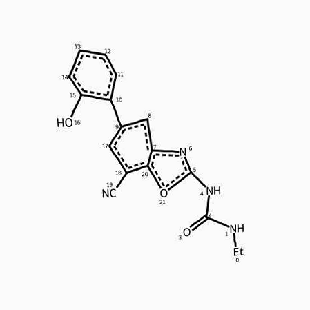 CCNC(=O)Nc1nc2cc(-c3ccccc3O)cc(C#N)c2o1